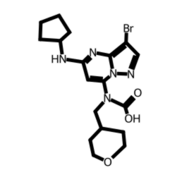 O=C(O)N(CC1CCOCC1)c1cc(NC2CCCC2)nc2c(Br)cnn12